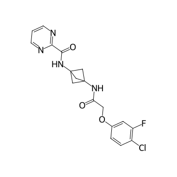 O=C(COc1ccc(Cl)c(F)c1)NC12CC(NC(=O)c3ncccn3)(C1)C2